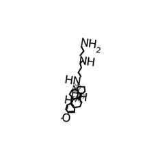 COc1ccc2c(c1)CC[C@@H]1[C@@H]2CC[C@]2(C)[C@@H](NCCCCNCCCN)CC[C@@H]12